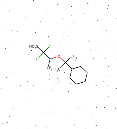 CC(OC(C(F)(F)F)C(F)(F)S(=O)(=O)O)(C1CCCCC1)C(F)(F)F